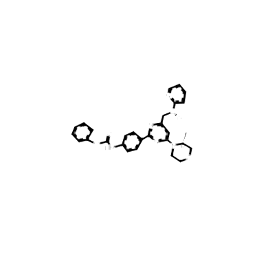 C[C@H]1COCCN1c1cc(C[S+]([O-])c2ccccn2)nc(-c2ccc(NC(=O)Oc3ccccc3)cc2)n1